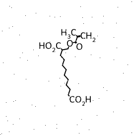 C=C(C)C(=O)OCC(CCCCCCCCCC(=O)O)C(=O)O